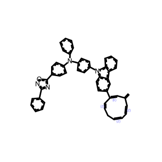 C=C1/C=C\C=C/C/C=C\C(c2ccc3c(c2)c2ccccc2n3-c2ccc(N(c3ccccc3)c3ccc(-c4nc(-c5ccccc5)no4)cc3)cc2)=C/1